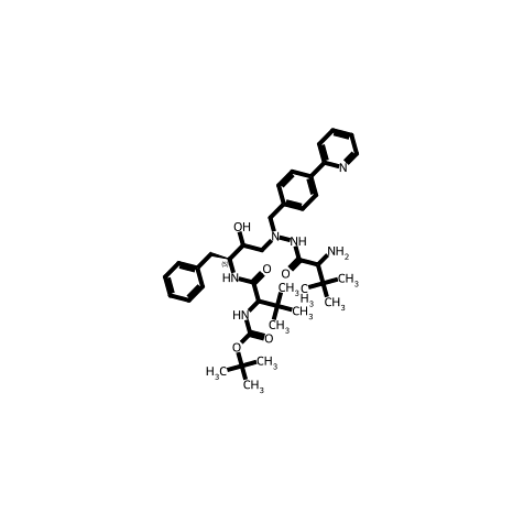 CC(C)(C)OC(=O)NC(C(=O)N[C@@H](Cc1ccccc1)C(O)CN(Cc1ccc(-c2ccccn2)cc1)NC(=O)C(N)C(C)(C)C)C(C)(C)C